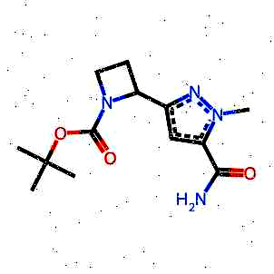 Cn1nc(C2CCN2C(=O)OC(C)(C)C)cc1C(N)=O